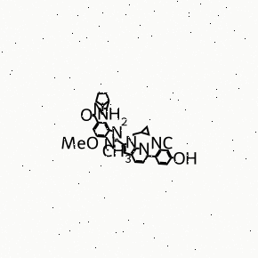 COc1cc(C(=O)N2CC3CCC2C3N)cc2nc(-c3cc4ccc(-c5ccc(O)cc5C#N)nc4n3CC3CC3)n(C)c12